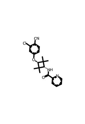 CC1(C)[C@H](NC(=O)c2ccccn2)C(C)(C)[C@H]1Oc1ccc(C#N)c(Cl)c1